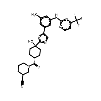 Cc1cc(Nc2nccc(C(F)(F)F)n2)cc(-c2cnc([C@]3(O)CC[C@H](C(=O)N4CCCC(C#N)C4)CC3)s2)c1